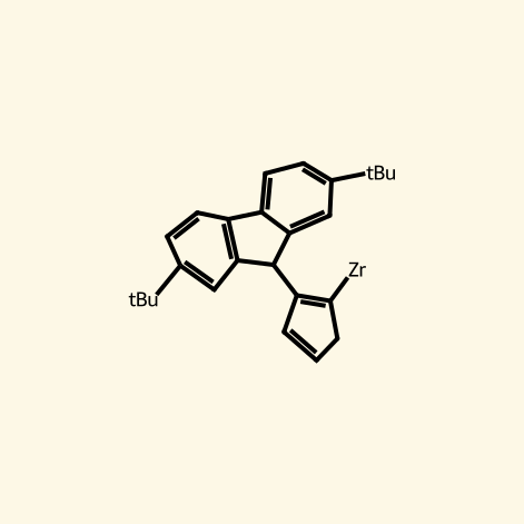 CC(C)(C)c1ccc2c(c1)C(C1=[C]([Zr])CC=C1)c1cc(C(C)(C)C)ccc1-2